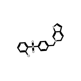 O=S(=O)(c1ccc(CN2C=c3sccc3=CC2)cc1)c1ccccc1Cl